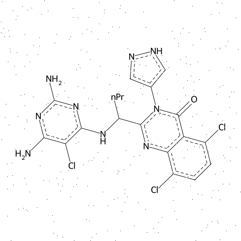 CCCC(Nc1nc(N)nc(N)c1Cl)c1nc2c(Cl)ccc(Cl)c2c(=O)n1-c1cn[nH]c1